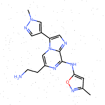 Cc1cc(Nc2nc(CCN)cn3c(-c4cnn(C)c4)cnc23)on1